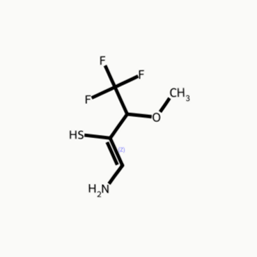 COC(/C(S)=C/N)C(F)(F)F